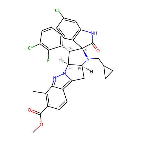 COC(=O)c1ccc2c3n(nc2c1C)[C@@H]1[C@H](C3)N(CC2CC2)[C@@]2(C(=O)Nc3cc(Cl)ccc32)[C@H]1c1cccc(Cl)c1F